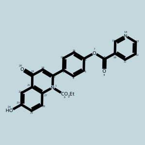 CCOC(=O)n1c(-c2ccc(OC(=O)c3cccnc3)cc2)cc(=O)c2cc(O)ccc21